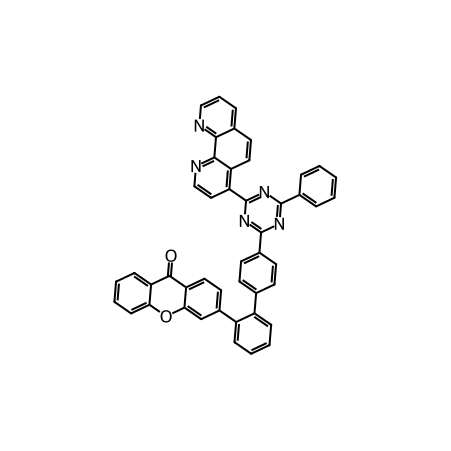 O=c1c2ccccc2oc2cc(-c3ccccc3-c3ccc(-c4nc(-c5ccccc5)nc(-c5ccnc6c5ccc5cccnc56)n4)cc3)ccc12